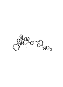 C[C@H](NP(=O)(Cl)Oc1ccccc1)C(=O)OCc1ccc([N+](=O)[O-])o1